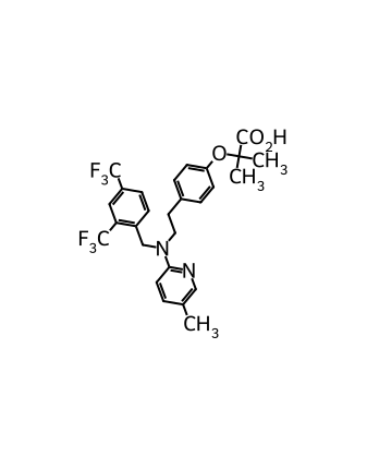 Cc1ccc(N(CCc2ccc(OC(C)(C)C(=O)O)cc2)Cc2ccc(C(F)(F)F)cc2C(F)(F)F)nc1